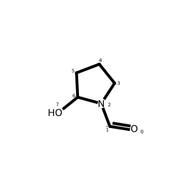 O=[C]N1CCCC1O